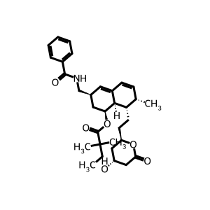 CCC(C)(C)C(=O)O[C@H]1C[C@@H](CNC(=O)c2ccccc2)C=C2C=C[C@H](C)[C@H](CC[C@@H]3C[C@@H](O)CC(=O)O3)[C@H]21